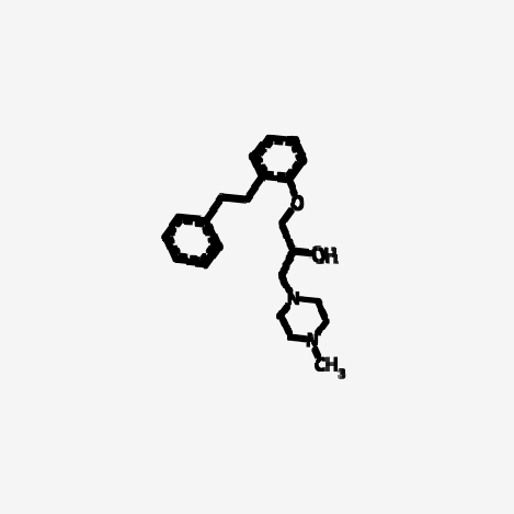 CN1CCN(CC(O)COc2ccccc2CCc2ccccc2)CC1